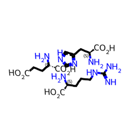 N=C(N)NCCC[C@H](N)C(=O)O.N[C@@H](CCC(=O)O)C(=O)O.N[C@@H](Cc1c[nH]cn1)C(=O)O